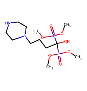 COP(=O)(OC)C(O)(CCCN1CCNCC1)P(=O)(OC)OC